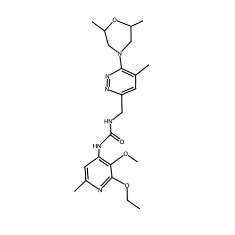 CCOc1nc(C)cc(NC(=O)NCc2cc(C)c(N3CC(C)OC(C)C3)nn2)c1OC